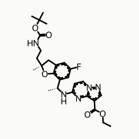 CCOC(=O)c1cnn2ccc(N[C@H](C)c3cc(F)cc4c3O[C@@](C)(CCNC(=O)OC(C)(C)C)C4)nc12